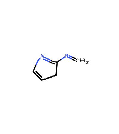 C=NC1=NC=CC1